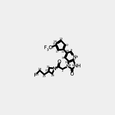 O=C(Cn1c(=O)[nH]c2ncc(-c3cccc(C(F)(F)F)c3)cc21)N1CC(CCF)C1